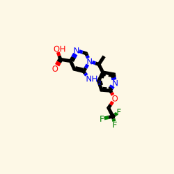 CC(c1ccc(OCC(F)(F)F)nc1)N1CN=C(C(=O)O)C=C1N